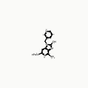 CCCCCc1cc2c(nc(O)n2Cc2cccnc2)c(N)n1